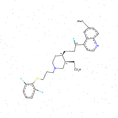 COc1ccc2nccc([C@H](F)CC[C@@H]3CCN(CCCSc4c(F)cccc4F)C[C@@H]3CC(=O)O)c2c1